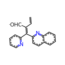 C=CC([C]=O)=C(c1ccccn1)c1ccc2ccccc2n1